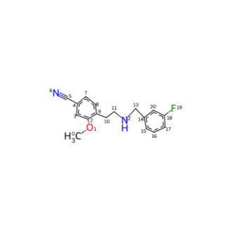 COc1cc(C#N)ccc1CCNCc1cccc(F)c1